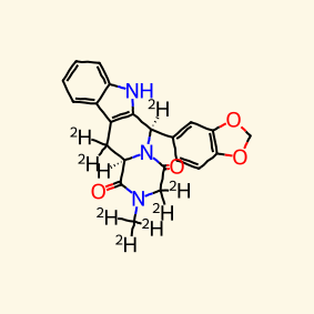 [2H]C1([2H])c2c([nH]c3ccccc23)[C@@]([2H])(c2ccc3c(c2)OCO3)N2C(=O)C([2H])([2H])N(C([2H])([2H])[2H])C(=O)[C@H]21